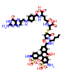 CCCCC(NC(=O)c1ccc(-c2c3ccc(=N)c(S(=O)(=O)O)c-3oc3c(S(=O)(=O)O)c(N)ccc23)c(C(=O)O)c1)N1C(=O)CC(SCC(NC(=O)CCC(NC(=O)c2ccc(NCc3cnc4nc(N)[nH]c(=O)c4n3)cc2)C(=O)O)C(=O)O)C1=O